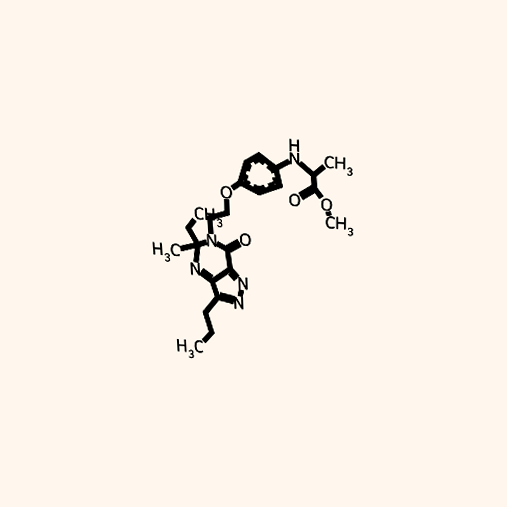 CCCC1=NN=C2C(=O)N(CCOc3ccc(NC(C)C(=O)OC)cc3)C(C)(CC)N=C12